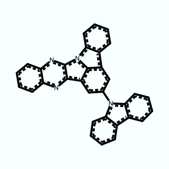 c1ccc2nc3c(nc2c1)c1cc(-n2c4ccccc4c4ccccc42)cc2c4ccccc4n3c21